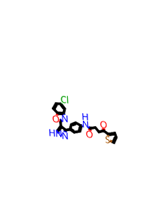 O=C(CCC(=O)c1cccs1)Nc1ccc(-c2n[nH]cc2-c2nc3cc(Cl)ccc3o2)cc1